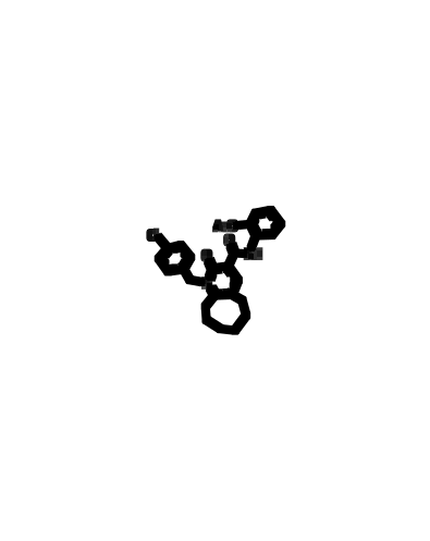 CC(=O)Oc1ccccc1NC(=O)c1cc2c(n(Cc3ccc(Cl)cc3)c1=O)CCCCCC2